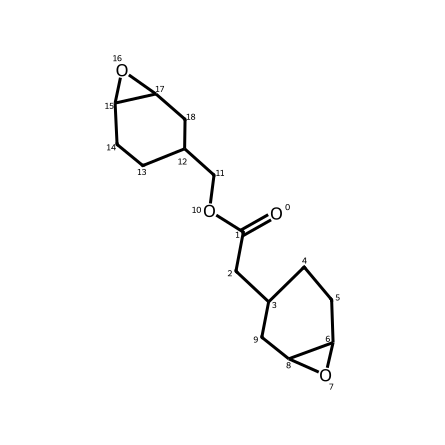 O=C(CC1CCC2OC2C1)OCC1CCC2OC2C1